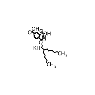 CCCCCCC(CCCCCC)CCOC(=O)c1ccc(C(=O)O)cc1S(=O)(=O)O.[KH]